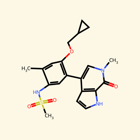 Cc1cc(OCC2CC2)c(-c2cn(C)c(=O)c3[nH]ccc23)cc1NS(C)(=O)=O